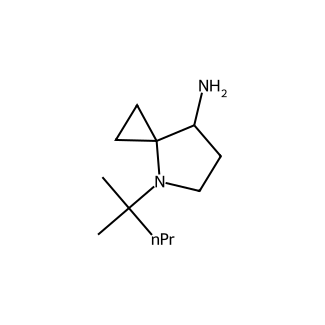 CCCC(C)(C)N1CCC(N)C12CC2